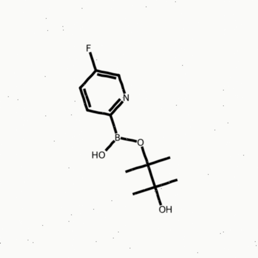 CC(C)(O)C(C)(C)OB(O)c1ccc(F)cn1